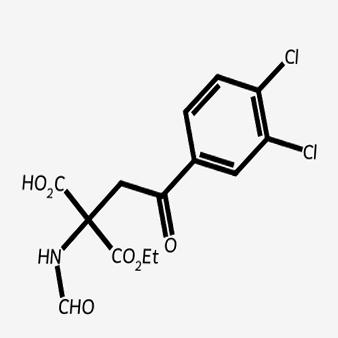 CCOC(=O)C(CC(=O)c1ccc(Cl)c(Cl)c1)(NC=O)C(=O)O